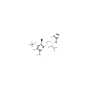 Cc1ncoc1C(=O)N1CCN(c2nc(C(C)C)c3c(c2C#N)CC(C)(C)OC3)CC1C(C)C